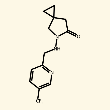 O=C1CC2(CC2)CN1NCc1ccc(C(F)(F)F)cn1